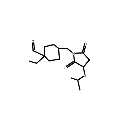 CCC1(C=O)CCC(CN2C(=O)CC(SC(C)C)C2=O)CC1